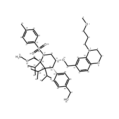 COCCCN1CCOc2ccc(CO[C@H]3CN(S(=O)(=O)c4ccc(C)cc4)[C@@](CO[SiH3])(C(C)C)C(C(C)C)(C(C)C)[C@H]3c3ccc(CO)cc3)cc21